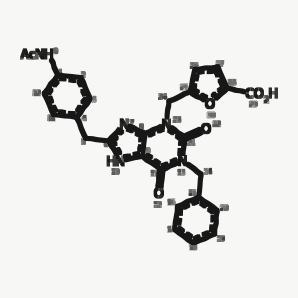 CC(=O)Nc1ccc(Cc2nc3c([nH]2)c(=O)n(Cc2ccccc2)c(=O)n3Cc2ccc(C(=O)O)o2)cc1